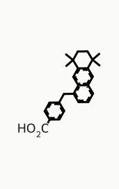 CC1(C)CCC(C)(C)c2cc3c(Cc4ccc(C(=O)O)cc4)cccc3cc21